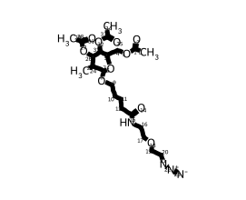 CC(=O)OCC1OC(OCCCCC(=O)NCCOCCN=[N+]=[N-])C(C)C(OC(C)=O)C1OC(C)=O